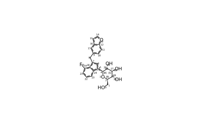 OC[C@H]1O[C@@H](n2cc(Cc3ccc4occc4c3)c3c(F)cccc32)[C@H](O)[C@@H](O)[C@@H]1O